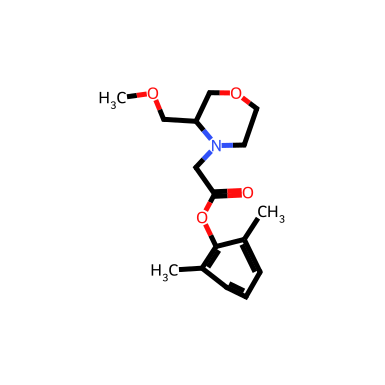 COCC1COCCN1CC(=O)Oc1c(C)cccc1C